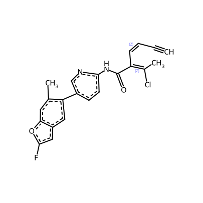 C#C/C=C\C(C(=O)Nc1ccc(-c2cc3cc(F)oc3cc2C)cn1)=C(/C)Cl